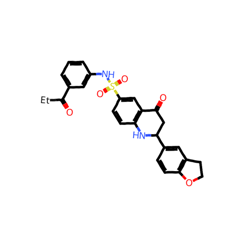 CCC(=O)c1cccc(NS(=O)(=O)c2ccc3c(c2)C(=O)CC(c2ccc4c(c2)CCO4)N3)c1